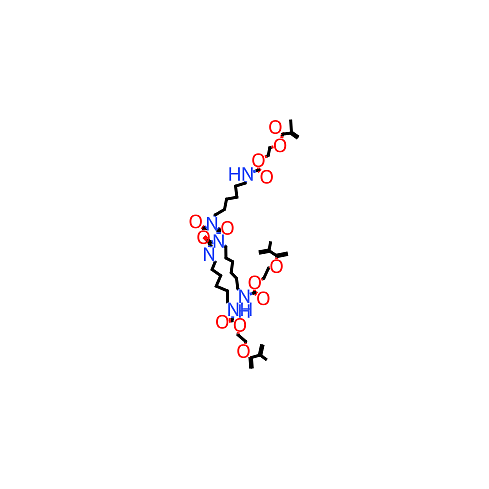 C=C(C)C(=C)OCCOC(=O)NCCCCCC/N=c1/oc(=O)n(CCCCCCNC(=O)OCCOC(=O)C(=C)C)c(=O)n1CCCCCCNC(=O)OCCOC(=C)C(=C)C